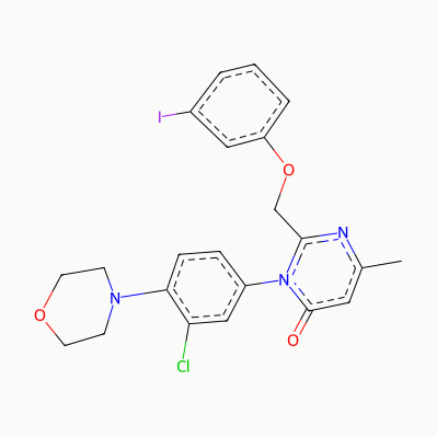 Cc1cc(=O)n(-c2ccc(N3CCOCC3)c(Cl)c2)c(COc2cccc(I)c2)n1